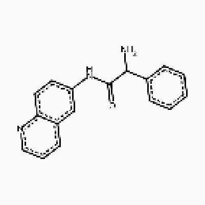 NC(C(=O)Nc1ccc2ncccc2c1)c1ccccc1